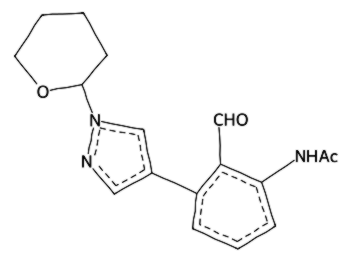 CC(=O)Nc1cccc(-c2cnn(C3CCCCO3)c2)c1C=O